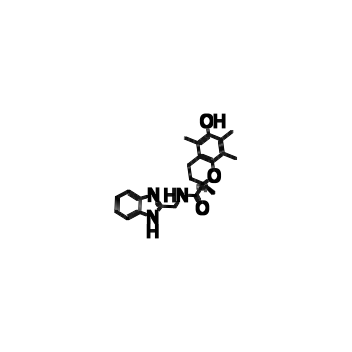 Cc1c(C)c2c(c(C)c1O)CC[C@@](C)(C(=O)NCc1nc3ccccc3[nH]1)O2